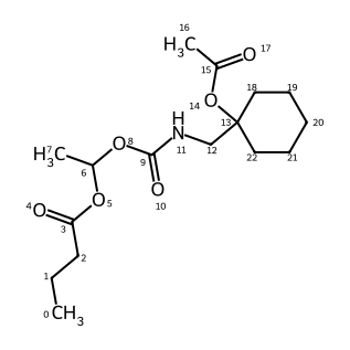 CCCC(=O)OC(C)OC(=O)NCC1(OC(C)=O)CCCCC1